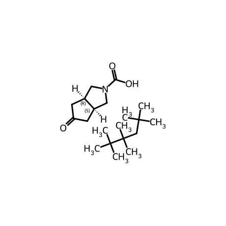 CC(C)(C)CC(C)(C)C(C)(C)C.O=C1C[C@@H]2CN(C(=O)O)C[C@@H]2C1